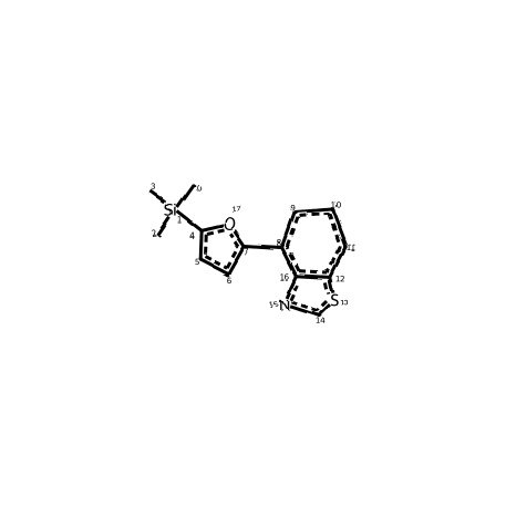 C[Si](C)(C)c1ccc(-c2cccc3scnc23)o1